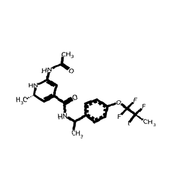 CC(=O)NC1=CC(C(=O)NC(C)c2ccc(OC(F)(F)[C@](C)(F)I)cc2)=C[C@H](C)N1